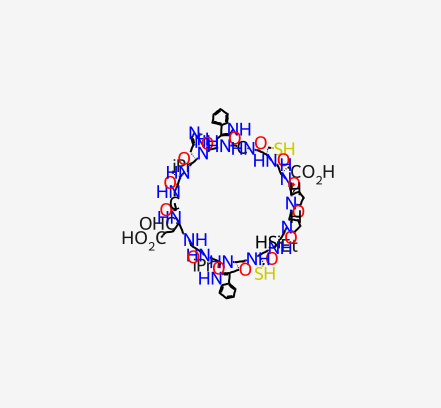 CC[SiH]1NC(=O)[C@H](CS)NC(=O)[C@H](Cc2c[nH]c3ccccc23)NC(=O)[C@H](C(C)C)NC(=O)CNC[C@](C=O)(CCC(=O)O)NC(=O)CNC(=O)[C@H](CC(C)C)NC(=O)[C@H](Cc2cnc[nH]2)NC(=O)[C@H](Cc2c[nH]c3ccccc23)NC(=O)CNC(=O)[C@H](CS)NC(=O)[C@H](CC(=O)O)NC(=O)[C@@H]2CCCN2C(=O)[C@H]2CCCN2C1=O